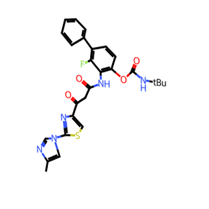 Cc1cn(-c2nc(C(=O)CC(=O)Nc3c(OC(=O)NC(C)(C)C)ccc(-c4ccccc4)c3F)cs2)cn1